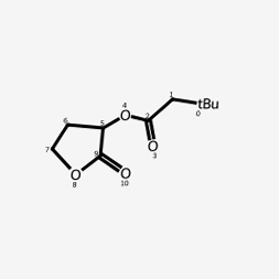 CC(C)(C)CC(=O)OC1CCOC1=O